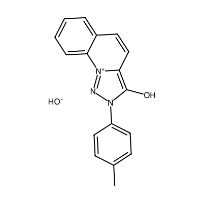 Cc1ccc(-n2n[n+]3c(ccc4ccccc43)c2O)cc1.[OH-]